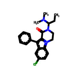 CCC(N(C)C)N1CCn2c(c(-c3ccccc3)c3cc(Cl)ccc32)C1=O